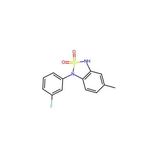 Cc1ccc2c(c1)NS(=O)(=O)N2c1cccc(F)c1